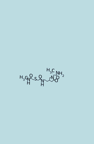 CC[C@H](C(N)=O)N1CC(CCNC(=O)CSCC(=O)NC)CC1=O